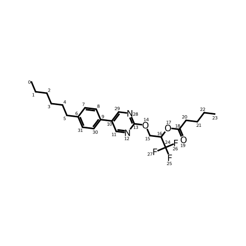 CCCCCCc1ccc(-c2cnc(OCC(OC(=O)CCCC)C(F)(F)F)nc2)cc1